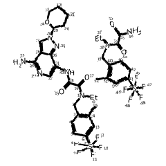 CCN(Cc1ccc(S(F)(F)(F)(F)F)cc1C)C(=O)C(=O)Nc1cnc(N)c2cn(C3CCCCO3)nc12.CCN(Cc1ccc(S(F)(F)(F)(F)F)cc1C)C(=O)C(N)=O